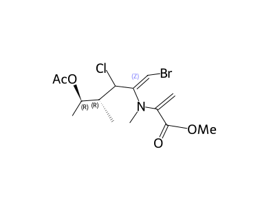 C=C(C(=O)OC)N(C)/C(=C\Br)C(Cl)[C@H](C)[C@@H](C)OC(C)=O